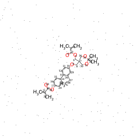 C=C(C)C(=O)OCC1(COc2ccc(-c3ccc(OC(=O)C(=C)C)cc3)c(CC)c2)COC(C)(C)OC1